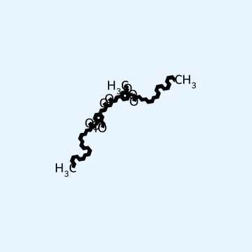 CC/C=C\C/C=C\C/C=C\C/C=C\C/C=C\CCCC(=O)Oc1ccc(/C=C/C(=O)CC(=O)/C=C/c2ccc(OC(=O)CCC/C=C\C/C=C\C/C=C\C/C=C\C/C=C\CC)c(OC)c2)cc1CO